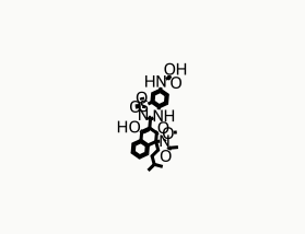 CON(C(C)=O)C1(CCC(C)C)C(=O)C(C2=NS(=O)(=O)c3cc(NC(=O)O)ccc3N2)=C(O)c2ccccc21